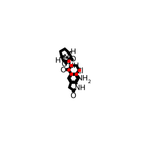 N[C@H]1CC[C@H](S(=O)(=O)N2[C@@H]3CC[C@H]2C[C@@H](NC(=O)c2cc4c(cc2Cl)NC(=O)C4)C3)CC1